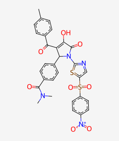 Cc1ccc(C(=O)C2=C(O)C(=O)N(c3ncc(S(=O)(=O)c4ccc([N+](=O)[O-])cc4)s3)C2c2ccc(C(=O)N(C)C)cc2)cc1